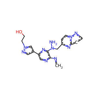 C=Nc1ncc(-c2cnn(CCO)c2)nc1N(N)Cc1ccn2nccc2n1